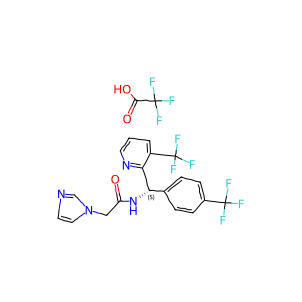 O=C(Cn1ccnc1)N[C@@H](c1ccc(C(F)(F)F)cc1)c1ncccc1C(F)(F)F.O=C(O)C(F)(F)F